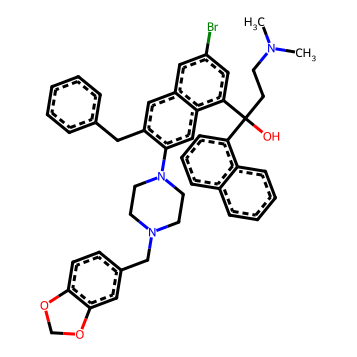 CN(C)CCC(O)(c1cccc2ccccc12)c1cc(Br)cc2cc(Cc3ccccc3)c(N3CCN(Cc4ccc5c(c4)OCO5)CC3)cc12